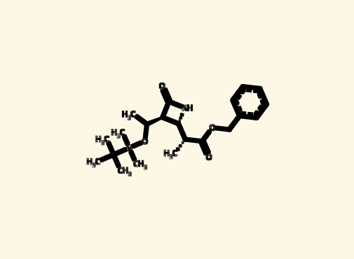 CC(O[Si](C)(C)C(C)(C)C)[C@H]1C(=O)N[C@@H]1[C@@H](C)C(=O)OCc1ccccc1